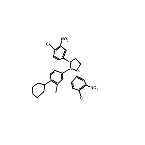 O=[N+]([O-])c1cc([C@H]2CC[C@H](c3ccc(Cl)c([N+](=O)[O-])c3)N2c2ccc(C3CCCCC3)c(F)c2)ccc1Cl